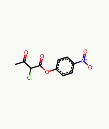 CC(=O)C(Cl)C(=O)Oc1ccc([N+](=O)[O-])cc1